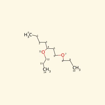 CCCCC(CCOCCC)OCCC